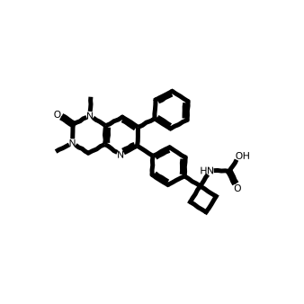 CN1Cc2nc(-c3ccc(C4(NC(=O)O)CCC4)cc3)c(-c3ccccc3)cc2N(C)C1=O